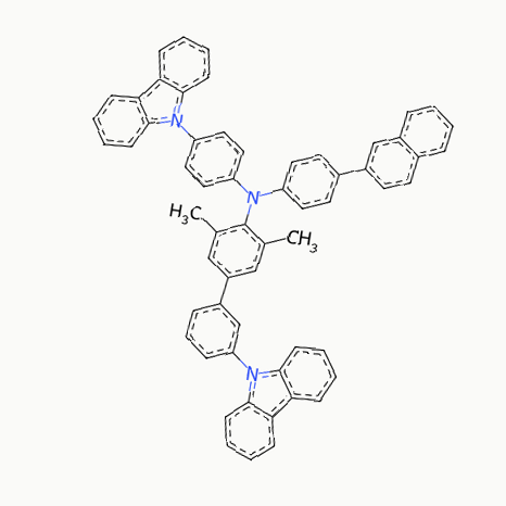 Cc1cc(-c2cccc(-n3c4ccccc4c4ccccc43)c2)cc(C)c1N(c1ccc(-c2ccc3ccccc3c2)cc1)c1ccc(-n2c3ccccc3c3ccccc32)cc1